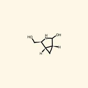 OC[C@H]1NC(O)[C@@H]2C[C@H]12